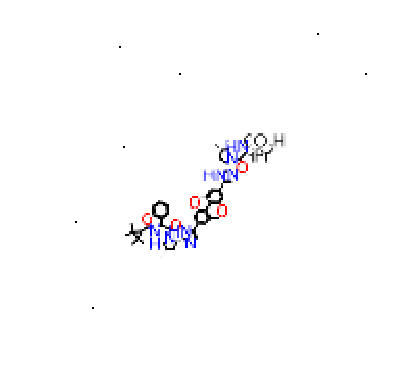 CC(C)[C@H](NC(=O)O)C(=O)N1C[C@@H](C)C[C@H]1c1ncc(-c2cc3c4c(c2)OCc2cc(-c5cnc([C@@H]6C[C@H](C)CN6C(=O)[C@H](NC(=O)C6C(C)(C)C6(C)C)c6ccccc6)[nH]5)cc(c2-4)OC3)[nH]1